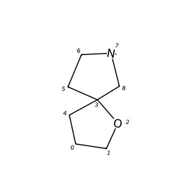 C1COC2(C1)CC[N]C2